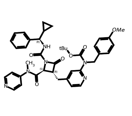 COc1ccc(CN(C(=O)OC(C)(C)C)c2cc(C[C@H]3C(=O)N(C(=O)N[C@@H](c4ccccc4)C4CC4)[C@@H]3C(=O)N(C)c3ccncc3)ccn2)cc1